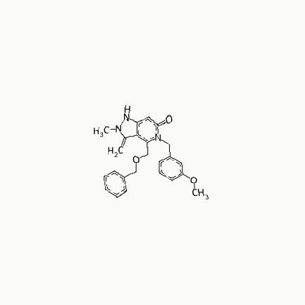 C=C1c2c(cc(=O)n(Cc3cccc(OC)c3)c2COCc2ccccc2)NN1C